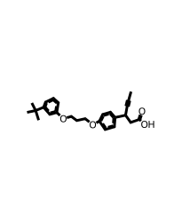 CC#CC(CC(=O)O)c1ccc(OCCCOc2cccc(C(C)(C)C)c2)cc1